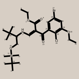 CCOC(=O)C(=CNC(CO[Si](C)(C)C(C)(C)C)C(C)(C)C)C(=O)c1cc(Br)cc(OCC)c1Cl